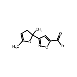 CCC(=O)c1cc(C2(C)CC=C(C)O2)no1